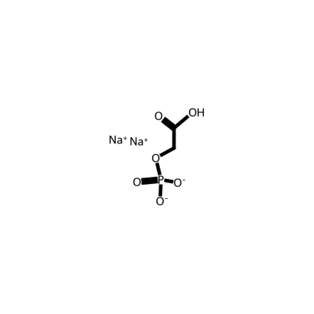 O=C(O)COP(=O)([O-])[O-].[Na+].[Na+]